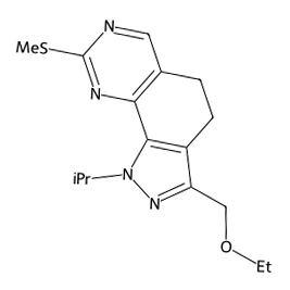 CCOCc1nn(C(C)C)c2c1CCc1cnc(SC)nc1-2